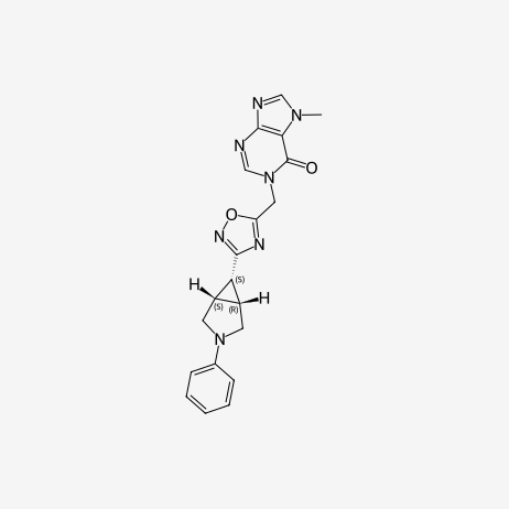 Cn1cnc2ncn(Cc3nc([C@@H]4[C@@H]5CN(c6ccccc6)C[C@@H]54)no3)c(=O)c21